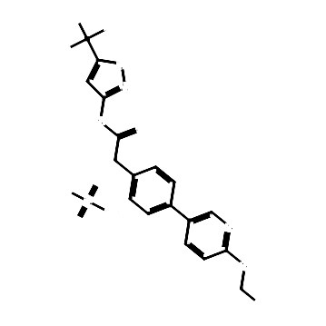 CCNc1ccc(-c2ccc(CC(=O)Nc3cc(C(C)(C)C)on3)cc2)cn1.CS(=O)(=O)O